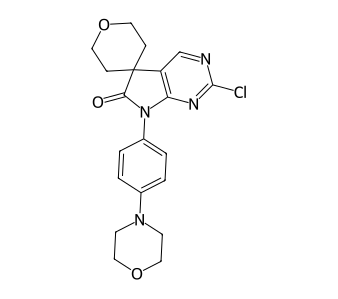 O=C1N(c2ccc(N3CCOCC3)cc2)c2nc(Cl)ncc2C12CCOCC2